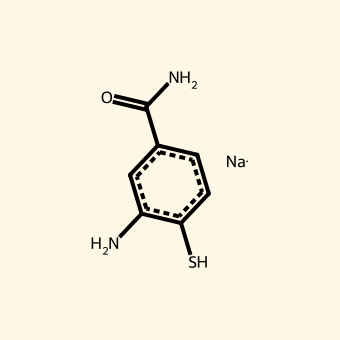 NC(=O)c1ccc(S)c(N)c1.[Na]